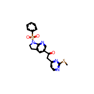 CSc1nccc(CC(=O)c2cnc3c(c2)CCN3S(=O)(=O)c2ccccc2)n1